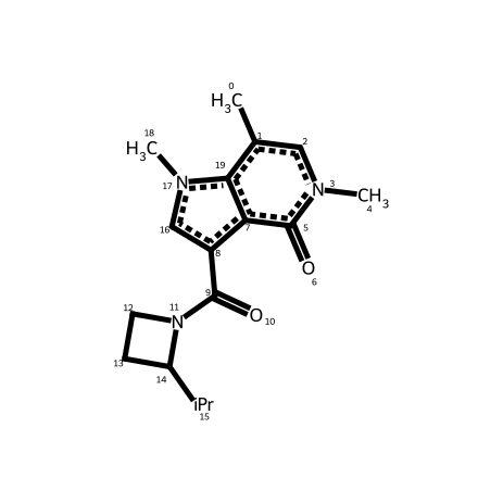 Cc1cn(C)c(=O)c2c(C(=O)N3CCC3C(C)C)cn(C)c12